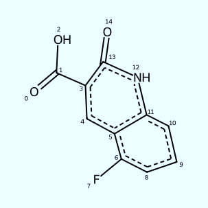 O=C(O)c1cc2c(F)cccc2[nH]c1=O